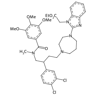 CCOC(=O)Cn1c(N2CCCN(CCC(CN(C)C(=O)c3cc(OC)c(OC)c(OC)c3)c3ccc(Cl)c(Cl)c3)CC2)nc2ccccc21